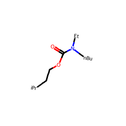 CCCCN(CC)C(=O)OCCC(C)C